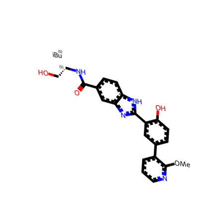 CC[C@H](C)[C@@H](CO)NC(=O)c1ccc2[nH]c(-c3cc(-c4cccnc4OC)ccc3O)nc2c1